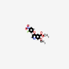 COC(=O)c1cc2c(Oc3ccc([N+](=O)[O-])c(F)c3)ccnc2cc1OC